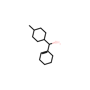 BC(C1=CCCCC1)C1CCC(C)CC1